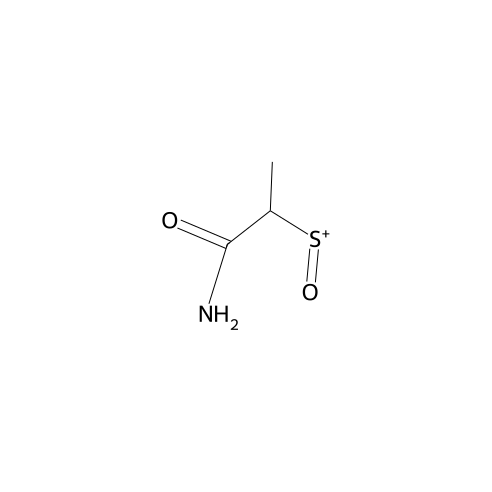 CC([S+]=O)C(N)=O